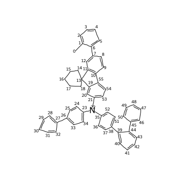 Cc1ccccc1-c1ccc2c(c1)C1(CCCCC1)c1cc(N(c3ccc(-c4ccccc4)cc3)c3ccc(-c4ccccc4-c4ccccc4)cc3)ccc1-2